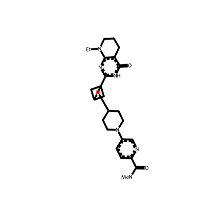 CCN1CCCc2c1nc(C13CC(C1)N(C1CCN(c4ccc(C(=O)NC)nc4)CC1)C3)[nH]c2=O